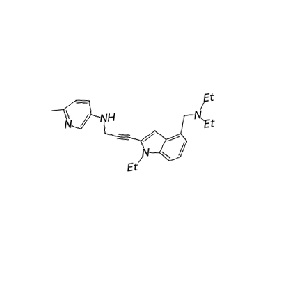 CCN(CC)Cc1cccc2c1cc(C#CCNc1ccc(C)nc1)n2CC